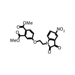 COC(=O)c1ccc(OCCN2C(=O)C(=O)c3cc([N+](=O)[O-])ccc32)cc1C(=O)OC